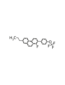 CCCc1ccc2c(ccc3c(F)c(-c4ccc(OC(F)(F)F)cc4)ccc32)c1